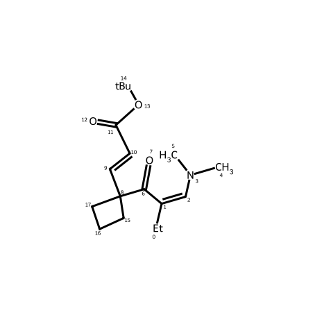 CC/C(=C/N(C)C)C(=O)C1(/C=C/C(=O)OC(C)(C)C)CCC1